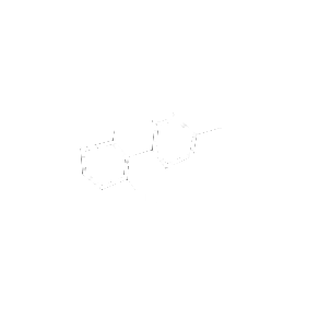 Cc1cccc(C)c1-c1ccc(O)nn1